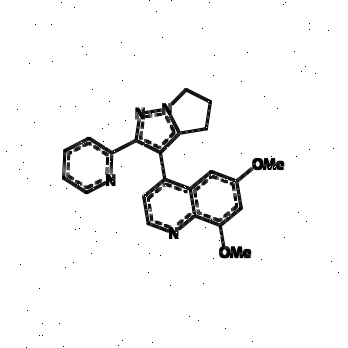 COc1cc(OC)c2nccc(-c3c(-c4ccccn4)nn4c3CCC4)c2c1